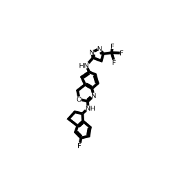 Fc1ccc2c(c1)CCC2NC1=Nc2ccc(NC3=NN=C(C(F)(F)F)C3)cc2CO1